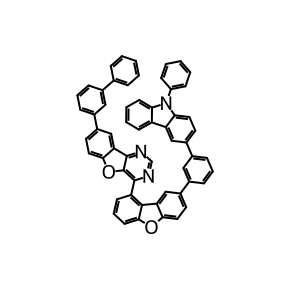 c1ccc(-c2cccc(-c3ccc4oc5c(-c6cccc7oc8ccc(-c9cccc(-c%10ccc%11c(c%10)c%10ccccc%10n%11-c%10ccccc%10)c9)cc8c67)ncnc5c4c3)c2)cc1